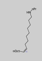 [CH2]CCNCCCCCCCC/C=C\CCCCCCCC